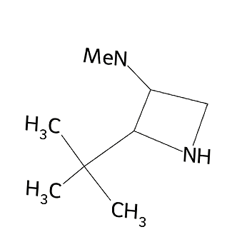 CNC1CNC1C(C)(C)C